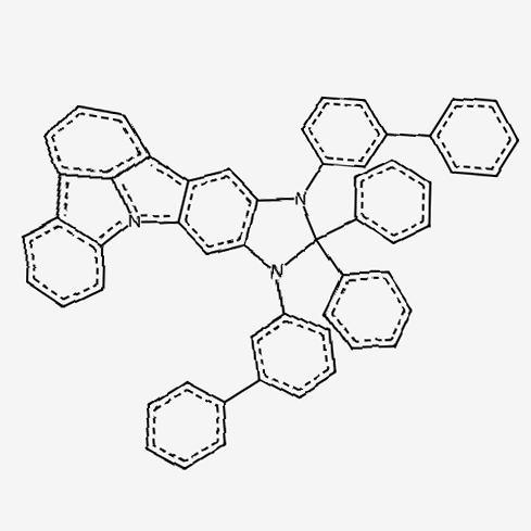 c1ccc(-c2cccc(N3c4cc5c6cccc7c8ccccc8n(c5cc4N(c4cccc(-c5ccccc5)c4)C3(c3ccccc3)c3ccccc3)c76)c2)cc1